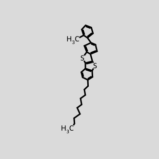 CCCCCCCCCCc1ccc2c(c1)sc1c3ccc(-c4ccccc4C)cc3sc21